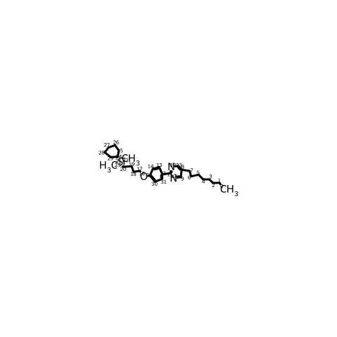 CCCCCCCCc1cnc(-c2ccc(OCCCC[Si](C)(C)C3CCCCC3)cc2)nc1